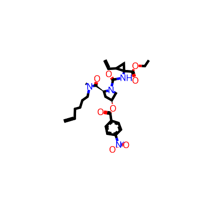 C=CCCCCN(C)C(=O)[C@@H]1C[C@@H](OC(=O)c2ccc([N+](=O)[O-])cc2)CN1C(=O)NC1(C(=O)OCC)CC1C=C